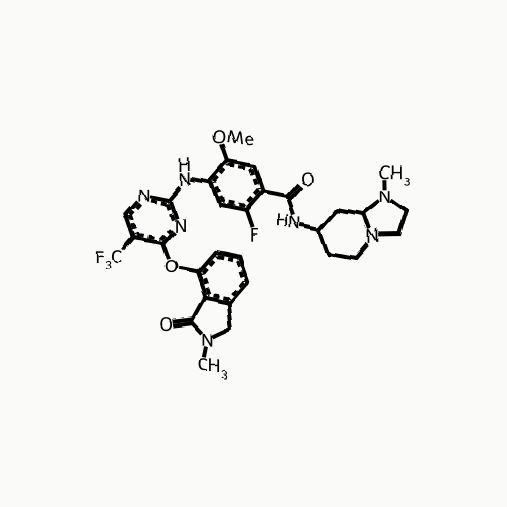 COc1cc(C(=O)NC2CCN3CCN(C)C3C2)c(F)cc1Nc1ncc(C(F)(F)F)c(Oc2cccc3c2C(=O)N(C)C3)n1